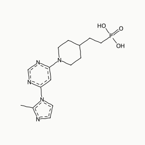 Cc1nccn1-c1cc(N2CCC(CCP(=O)(O)O)CC2)ncn1